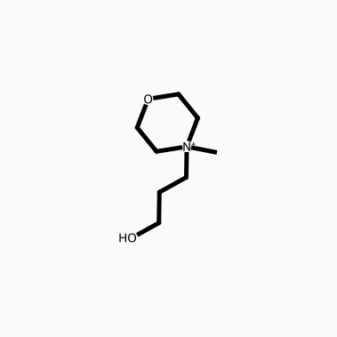 C[N+]1(CCCO)CCOCC1